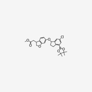 COC(=O)CC1COc2cc(O[C@@H]3CCc4c(B5OC(C)(C)C(C)(C)O5)cc(Cl)cc43)ccc21